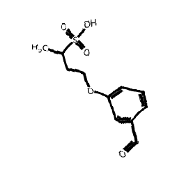 CC(CCOc1cccc(C=O)c1)S(=O)(=O)O